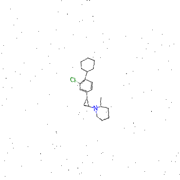 CC1CCCCN1C1CC1c1ccc(C2CCCCC2)c(Cl)c1